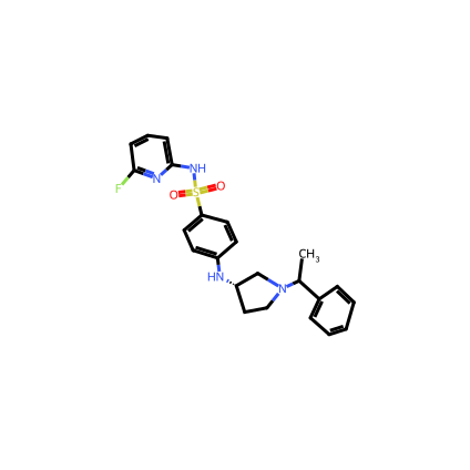 CC(c1ccccc1)N1CC[C@H](Nc2ccc(S(=O)(=O)Nc3cccc(F)n3)cc2)C1